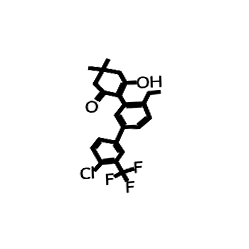 CCc1ccc(-c2ccc(Cl)c(C(F)(F)F)c2)cc1C1=C(O)CC(C)(C)CC1=O